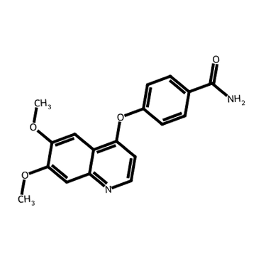 COc1cc2nccc(Oc3ccc(C(N)=O)cc3)c2cc1OC